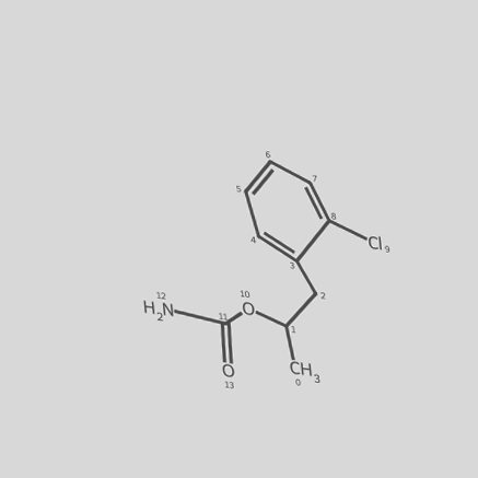 CC(Cc1ccccc1Cl)OC(N)=O